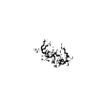 CCCCC(C)NC(=O)C(C)(C)CC(C)(P)C(C)(C)OCCC(C)(P)C(C)(CC)CC(C)(C)NC(=O)C[C@](C)(CCC)CCCC